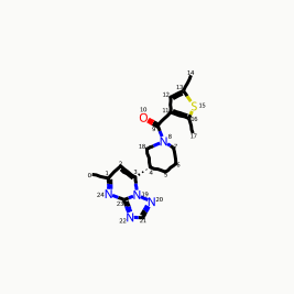 Cc1cc([C@H]2CCCN(C(=O)c3cc(C)sc3C)C2)n2ncnc2n1